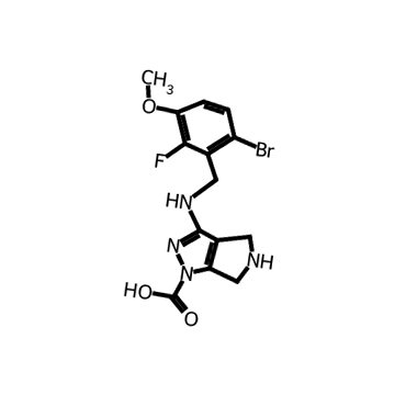 COc1ccc(Br)c(CNc2nn(C(=O)O)c3c2CNC3)c1F